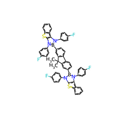 CC1(C)c2cc(B3N(c4ccc(F)cc4)c4sc5ccccc5c4N3c3ccc(F)cc3)ccc2-c2ccc(B3N(c4ccc(F)cc4)c4sc5ccccc5c4N3c3ccc(F)cc3)cc21